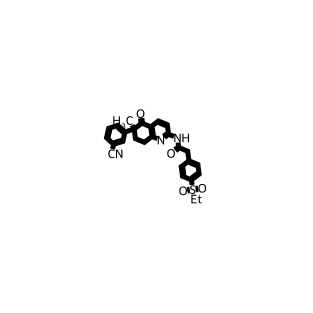 CCS(=O)(=O)c1ccc(CC(=O)Nc2ccc3c(n2)CCC(C)(c2cccc(C#N)c2)C3=O)cc1